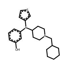 Oc1cccc(N(c2ccsc2)C2CCN(CC3CCCCC3)CC2)c1